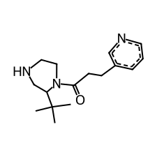 CC(C)(C)C1CNCCN1C(=O)CCc1cccnc1